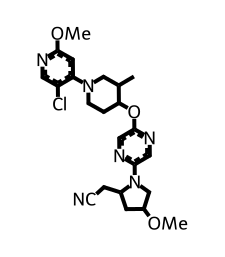 COc1cc(N2CCC(Oc3cnc(N4CC(OC)CC4CC#N)cn3)C(C)C2)c(Cl)cn1